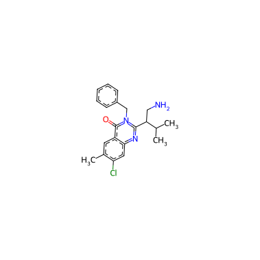 Cc1cc2c(=O)n(Cc3ccccc3)c(C(CN)C(C)C)nc2cc1Cl